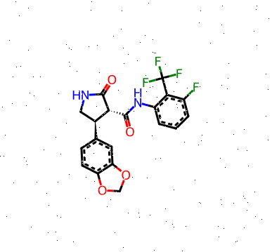 O=C1NC[C@H](c2ccc3c(c2)OCO3)[C@H]1C(=O)Nc1cccc(F)c1C(F)(F)F